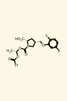 CCC(=O)O[C@H](C)OC(=O)N1C[C@@H](COc2cc(F)ccc2F)C[C@H]1C(=O)O